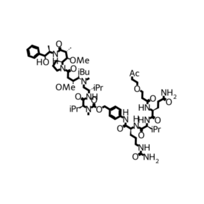 CC[C@H](C)[C@@H]([C@@H](CC(=O)N1CCC[C@H]1[C@H](OC)[C@@H](C)C(=O)N[C@H](C)[C@@H](O)c1ccccc1)OC)N(C)C[C@@H](NC(=O)[C@H](C(C)C)N(C)C(=O)OCc1ccc(NC(=O)[C@H](CCCNC(N)=O)NC(=O)[C@@H](NC(=O)[C@H](CCC(N)=O)NC(=O)CCOCCC(C)=O)C(C)C)cc1)C(C)C